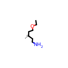 CCOCC[C@@H](C)CCN